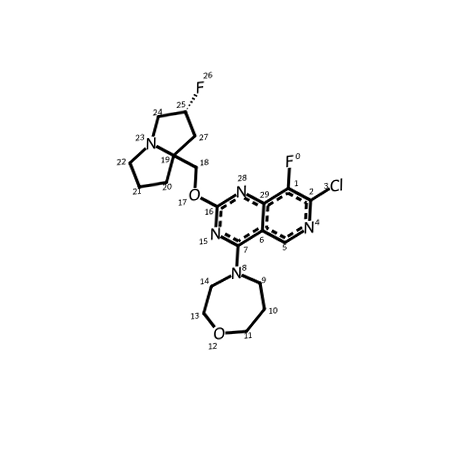 Fc1c(Cl)ncc2c(N3CCCOCC3)nc(OCC34CCCN3C[C@H](F)C4)nc12